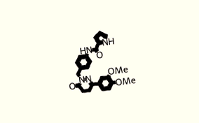 COc1ccc(C2=NN(Cc3ccc(NC(=O)c4ccc[nH]4)cc3)C(=O)CC2)cc1OC